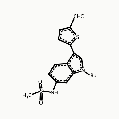 CCC(C)n1cc(-c2ccc(C=O)s2)c2ccc(NS(C)(=O)=O)cc21